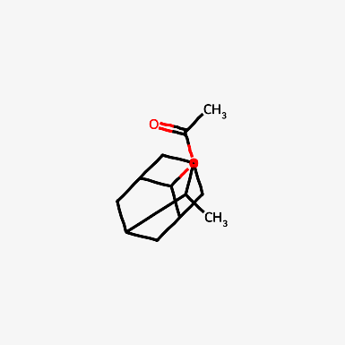 CC(=O)OC1C2CC3CC1CC(C2)C3C